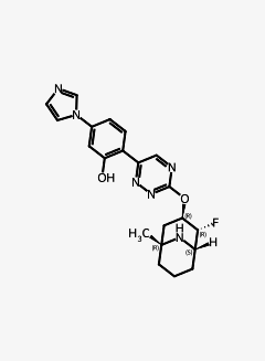 C[C@]12CCC[C@H](N1)[C@@H](F)[C@H](Oc1ncc(-c3ccc(-n4ccnc4)cc3O)nn1)C2